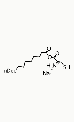 CCCCCCCCCCCCCCCCCC(=O)OC(=O)[C@@H](N)CS.[Na]